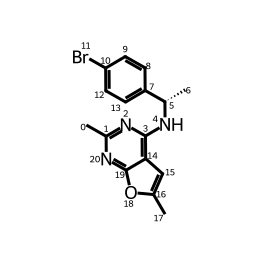 Cc1nc(N[C@@H](C)c2ccc(Br)cc2)c2cc(C)oc2n1